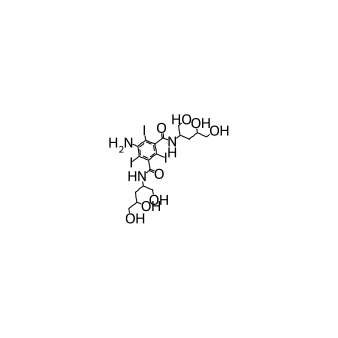 Nc1c(I)c(C(=O)NC(CO)CC(O)CO)c(I)c(C(=O)NC(CO)CC(O)CO)c1I